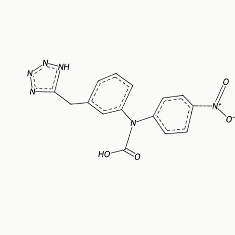 O=C(O)N(c1ccc([N+](=O)[O-])cc1)c1cccc(Cc2nnn[nH]2)c1